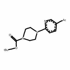 CC(=O)c1ccc(N2CCN(C(=O)OC(C)(C)C)CC2)nc1